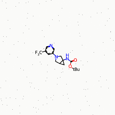 CC(C)(C)OC(=O)NC12CC1CN(c1cncc(C(F)(F)F)c1)C2